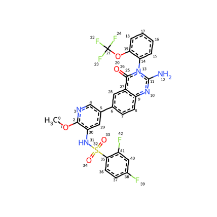 COc1ncc(-c2ccc3nc(N)n(-c4ccccc4OC(F)(F)F)c(=O)c3c2)cc1NS(=O)(=O)c1ccc(F)cc1F